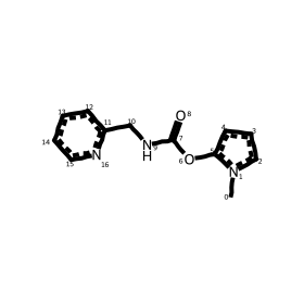 Cn1cccc1OC(=O)NCc1ccccn1